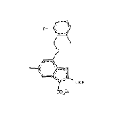 CCOC(=O)c1c(OC)nc2c(OCc3c(F)cccc3F)cc(C)cn12